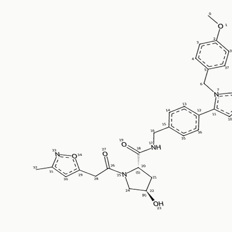 COc1ccc(Cn2cncc2-c2ccc(CNC(=O)[C@@H]3C[C@@H](O)CN3C(=O)Cc3cc(C)no3)cc2)cc1